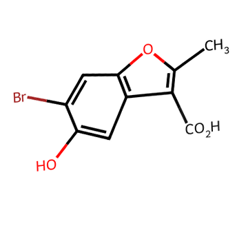 Cc1oc2cc(Br)c(O)cc2c1C(=O)O